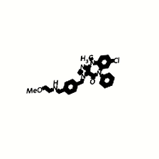 COCCNCc1ccc(Cn2cnc3c2C(=O)N(c2ccccc2)c2cc(Cl)ccc2N3C)cc1